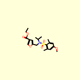 CCOC(=O)c1coc(CN(C(C)C)S(=O)(=O)c2c(C)cc(OC)cc2C)c1